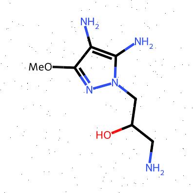 COc1nn(CC(O)CN)c(N)c1N